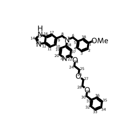 COc1cccc(CN(Cc2ccc3nc[nH]c3c2)c2ccnc(OCCOCCOCc3ccccc3)c2)c1